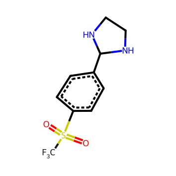 O=S(=O)(c1ccc(C2NCCN2)cc1)C(F)(F)F